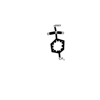 CCCCCCS(=O)(=O)c1ccc(C)cc1